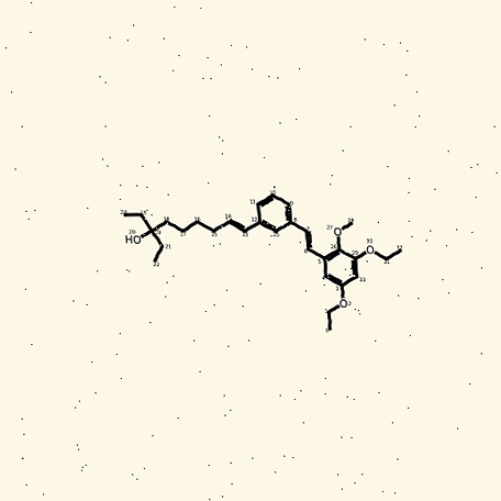 CCOc1cc(C=Cc2cccc(C=CCCCCC(O)(CC)CC)c2)c(OC)c(OCC)c1